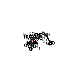 CC[C@H](C)[C@@H]([C@@H](CC(=O)N1CCC[C@H]1[C@H](OC)[C@@H](C)C(=O)N[C@@H](Cc1ccccc1)C(=O)O)OC)N(C)C(=O)[C@@H](NC(=O)C[C@H]1CC[C@H](NCCCCCCN2C(=O)C=CC2=O)C1)C(C)C